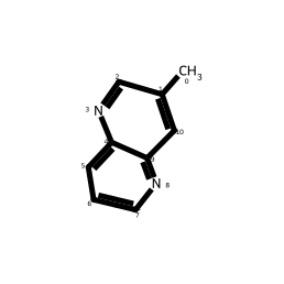 Cc1cnc2cc[c]nc2c1